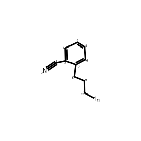 N#Cc1ccccc1CCCI